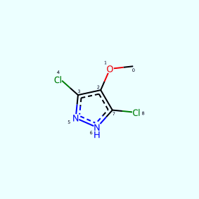 COc1c(Cl)n[nH]c1Cl